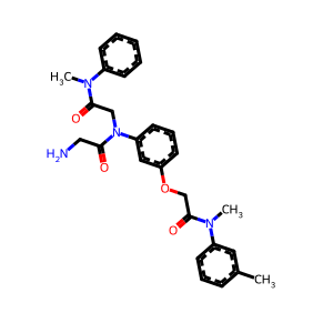 Cc1cccc(N(C)C(=O)COc2cccc(N(CC(=O)N(C)c3ccccc3)C(=O)CN)c2)c1